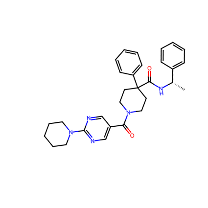 C[C@H](NC(=O)C1(c2ccccc2)CCN(C(=O)c2cnc(N3CCCCC3)nc2)CC1)c1ccccc1